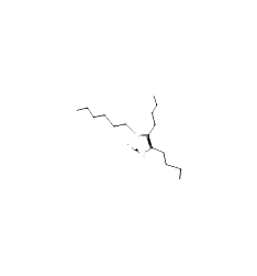 CCCCCCn1nnc(CCCC)c1CCCC